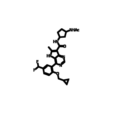 CC(=O)NC1CCC(NC(=O)c2c(C)[nH]c3c(-c4cc(C(F)F)ccc4OCC4CC4)ncnc23)C1